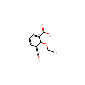 CCOC1C(=C=O)C=CC=C1C(=O)O